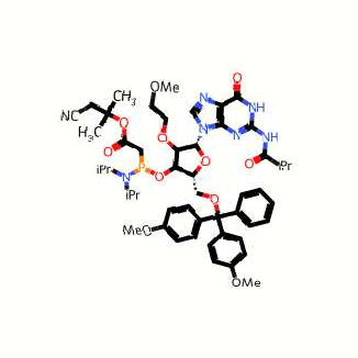 COCCOC1C(OP(CC(=O)OC(C)(C)CC#N)N(C(C)C)C(C)C)[C@@H](COC(c2ccccc2)(c2ccc(OC)cc2)c2ccc(OC)cc2)O[C@H]1n1cnc2c(=O)[nH]c(NC(=O)C(C)C)nc21